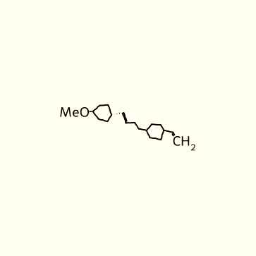 C=CC1CCC(CC/C=C/[C@H]2CC[C@H](OC)CC2)CC1